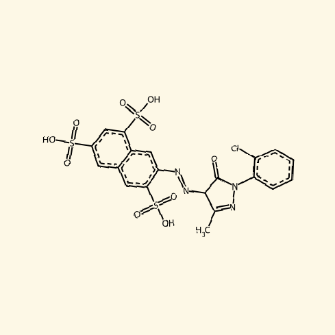 CC1=NN(c2ccccc2Cl)C(=O)C1N=Nc1cc2c(S(=O)(=O)O)cc(S(=O)(=O)O)cc2cc1S(=O)(=O)O